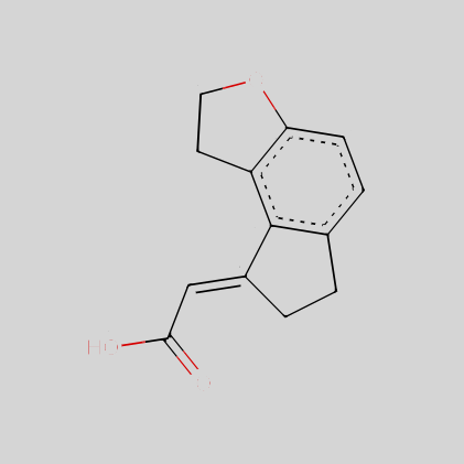 O=C(O)C=C1CCc2ccc3c(c21)CCO3